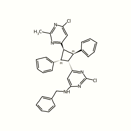 Cc1nc(Cl)cc([C@H]2[C@@H](c3ccccc3)[C@H](c3cc(NCc4ccccc4)nc(Cl)n3)[C@@H]2c2ccccc2)n1